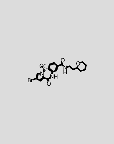 O=C(NCCC1CCCCO1)c1ccc2c(c1)NC(=O)c1cc(Br)cn1[S+]2[O-]